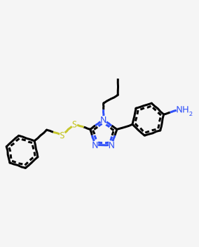 CCCn1c(SSCc2ccccc2)nnc1-c1ccc(N)cc1